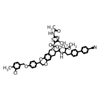 COC(=O)C(Cc1ccc(-c2ccc(C#N)cc2)cc1)NC(=O)C1Cc2cc3c(cc2CN1S(=O)(=O)c1sc(NC(C)=O)nc1C)OC(c1ccc(OCc2ccc(C)c(Cl)c2)cc1)CO3